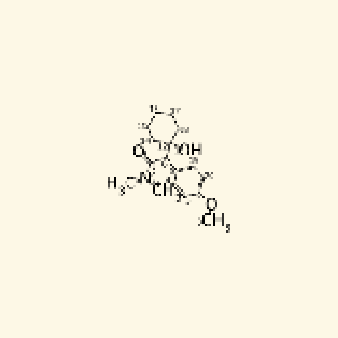 COc1ccc(C(C(=O)N(C)C)C2(O)CCCCC2)cc1